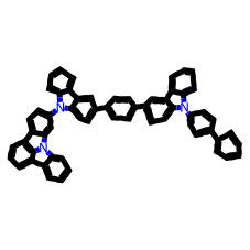 c1ccc(-c2ccc(-n3c4ccccc4c4cc(-c5ccc(-c6ccc7c(c6)c6ccccc6n7-c6ccc7c8cccc9c%10ccccc%10n(c7c6)c98)cc5)ccc43)cc2)cc1